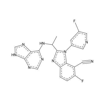 CC(Nc1ncnc2[nH]cnc12)c1nc2ccc(F)c(C#N)c2n1-c1cncc(F)c1